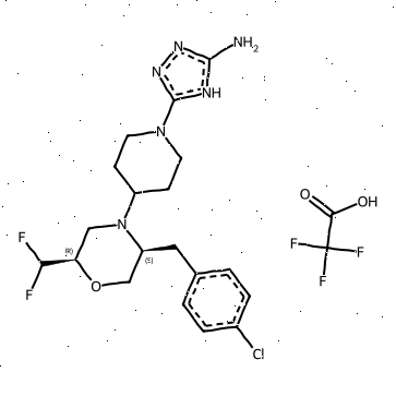 Nc1nnc(N2CCC(N3C[C@H](C(F)F)OC[C@@H]3Cc3ccc(Cl)cc3)CC2)[nH]1.O=C(O)C(F)(F)F